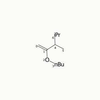 C=C(OCCCC)C(C)C(C)C